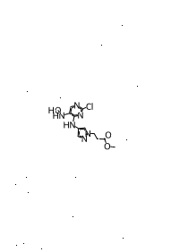 COC(=O)CCn1cc(Nc2nc(Cl)ncc2NO)cn1